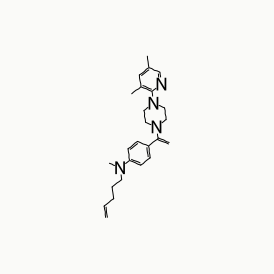 C=CCCCN(C)c1ccc(C(=C)N2CCN(c3ncc(C)cc3C)CC2)cc1